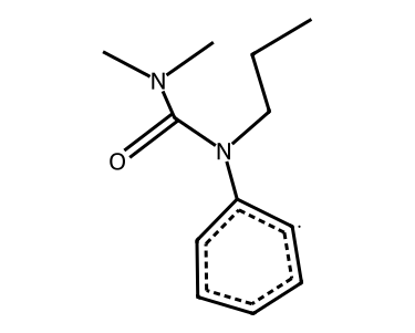 CCCN(C(=O)N(C)C)c1[c]cccc1